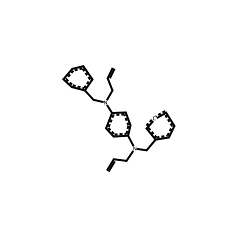 C=CCN(Cc1ccccc1)c1ccc(N(CC=C)Cc2ccccc2)cc1